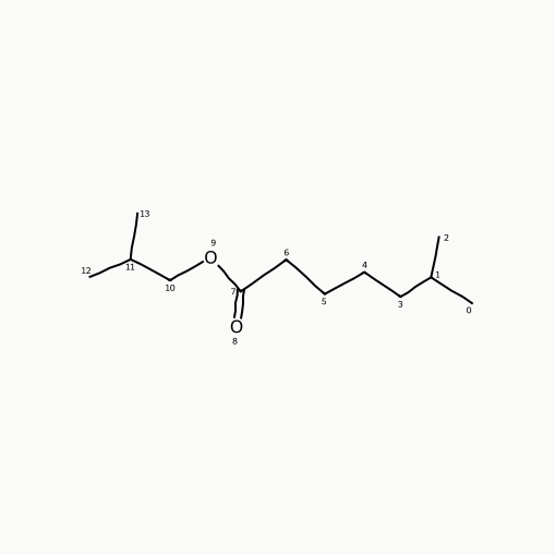 CC(C)CCCCC(=O)OCC(C)C